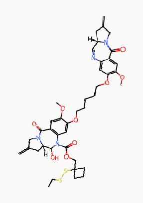 C=C1C[C@H]2C=Nc3cc(OCCCCCOc4cc5c(cc4OC)C(=O)N4CC(=C)C[C@H]4C(O)N5C(=O)OCC4(SSCC)CCC4)c(OC)cc3C(=O)N2C1